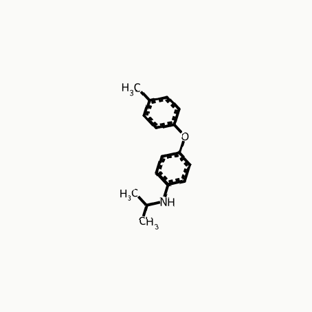 Cc1ccc(Oc2ccc(NC(C)C)cc2)cc1